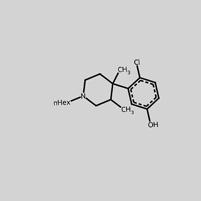 CCCCCCN1CCC(C)(c2cc(O)ccc2Cl)C(C)C1